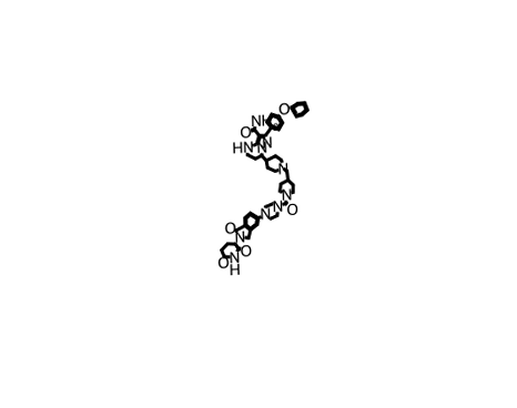 NC(=O)c1c(-c2ccc(Oc3ccccc3)cc2)nn2c1NCCC2C1CCN(CC2CCN(C(=O)N3CCN(c4ccc5c(c4)CN(C4CCC(=O)NC4=O)C5=O)CC3)CC2)CC1